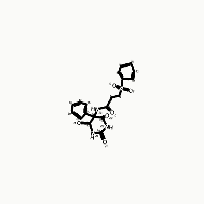 O=C(CCS(=O)(=O)c1ccccc1)NC1(c2ccccc2)C(=O)NC(=O)NC1=O